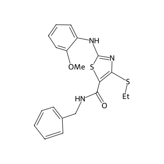 CCSc1nc(Nc2ccccc2OC)sc1C(=O)NCc1ccccc1